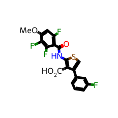 COc1cc(F)c(C(=O)Nc2scc(-c3cccc(F)c3)c2C(=O)O)c(F)c1F